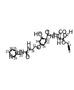 C#CCOC(=O)N[C@@H](CNC(=O)c1ccc(OCCNC(=O)NCc2cccnc2)cc1O)C(=O)O